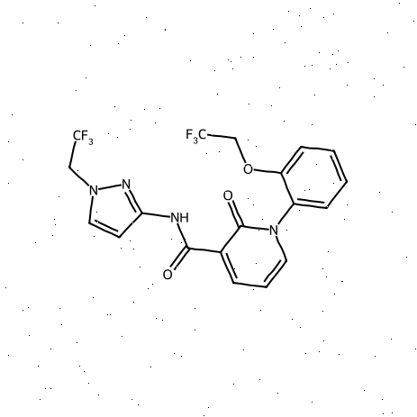 O=C(Nc1ccn(CC(F)(F)F)n1)c1cccn(-c2ccccc2OCC(F)(F)F)c1=O